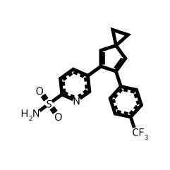 NS(=O)(=O)c1ccc(C2=CC3(C=C2c2ccc(C(F)(F)F)cc2)CC3)cn1